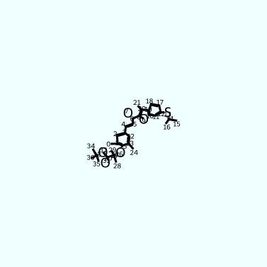 Cc1cc(/C=C/C(=O)c2oc3cc(SC(C)C)ccc3c2C)cc(C)c1OC(C)(C)C(=O)OC(C)(C)C